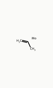 C=CC.[Mo]